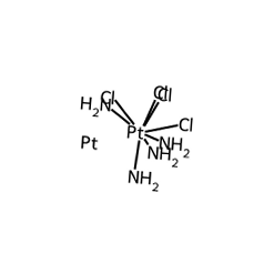 [NH2][Pt]([NH2])([NH2])([NH2])([Cl])([Cl])([Cl])[Cl].[Pt]